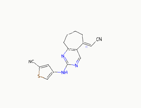 N#C/C=C1\CCCCc2nc(Nc3csc(C#N)c3)ncc21